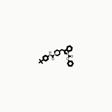 CC(C)(C)c1ccc(NC(=O)N2CCC(Cc3cn(C(=O)Oc4ccccc4)c4ccccc34)CC2)cc1